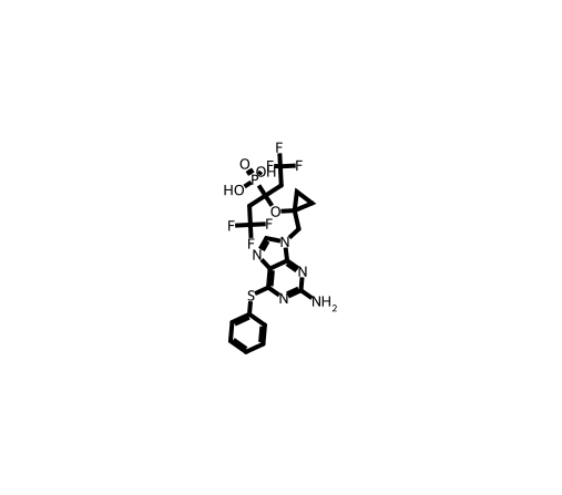 Nc1nc(Sc2ccccc2)c2ncn(CC3(OC(CC(F)(F)F)(CC(F)(F)F)P(=O)(O)O)CC3)c2n1